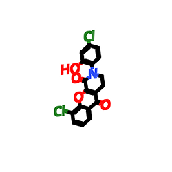 O=C1c2oc3c(Cl)cccc3c(=O)c2CCN1c1ccc(Cl)cc1O